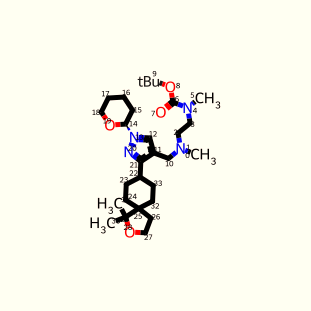 CN(CCN(C)C(=O)OC(C)(C)C)Cc1cn([C@H]2CCCCO2)nc1C1CCC2(CCOC2(C)C)CC1